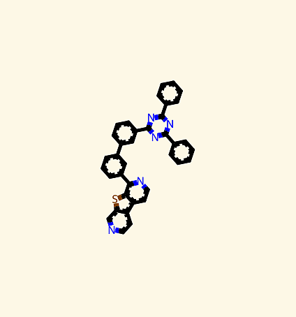 c1ccc(-c2nc(-c3ccccc3)nc(-c3cccc(-c4cccc(-c5nccc6c5sc5cnccc56)c4)c3)n2)cc1